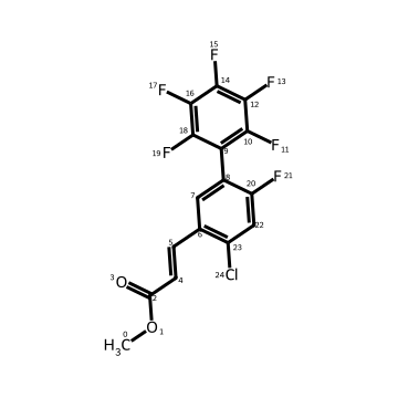 COC(=O)/C=C/c1cc(-c2c(F)c(F)c(F)c(F)c2F)c(F)cc1Cl